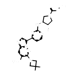 COc1cc2ncc(-c3ccnc(N[C@H]4CN(C(=O)OC(C)(C)C)C[C@@H]4F)n3)n2nc1N1CC(F)(F)C1